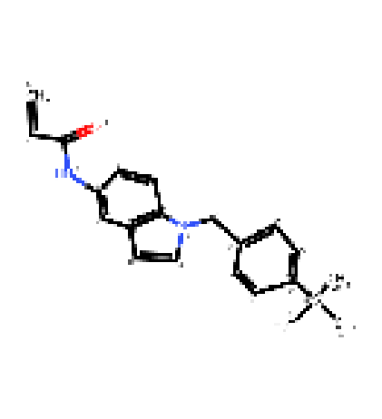 C=CC(=O)Nc1ccc2c(ccn2Cc2ccc([Si](C)(C)C)cc2)c1